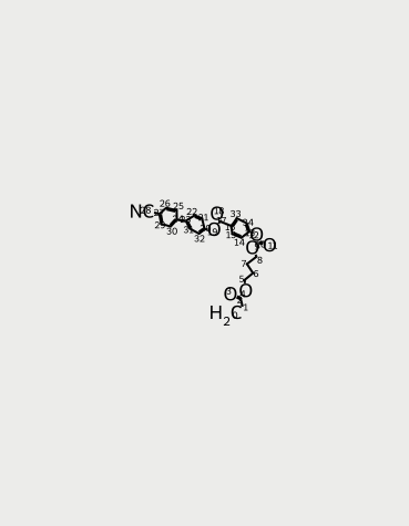 C=CC(=O)OCCCCOC(=O)Oc1ccc(C(=O)Oc2ccc(-c3ccc(C#N)cc3)cc2)cc1